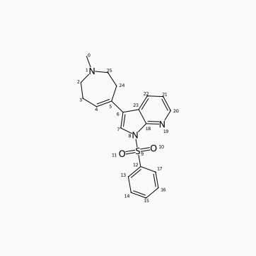 CN1CCC=C(c2cn(S(=O)(=O)c3ccccc3)c3ncccc23)CC1